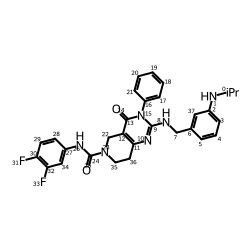 CC(C)Nc1cccc(CNc2nc3c(c(=O)n2-c2ccccc2)CN(C(=O)Nc2ccc(F)c(F)c2)CC3)c1